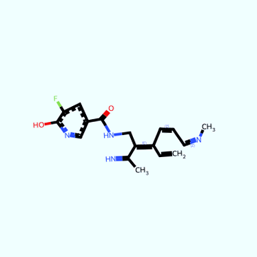 C=CC(/C=C\C=N/C)=C(/CNC(=O)c1cnc(O)c(F)c1)C(C)=N